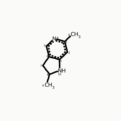 Cc1cc2c(cn1)CC(C)N2